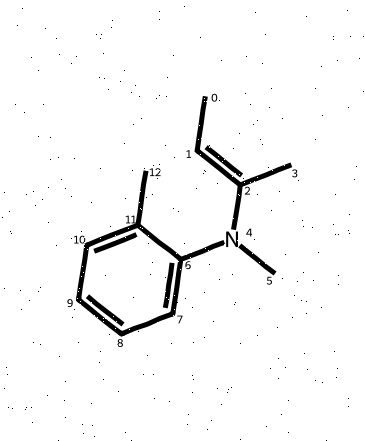 CC=C(C)N(C)c1ccccc1C